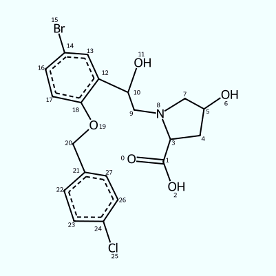 O=C(O)C1CC(O)CN1CC(O)c1cc(Br)ccc1OCc1ccc(Cl)cc1